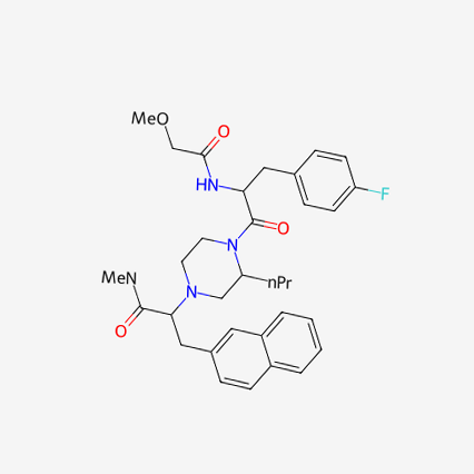 CCCC1CN(C(Cc2ccc3ccccc3c2)C(=O)NC)CCN1C(=O)C(Cc1ccc(F)cc1)NC(=O)COC